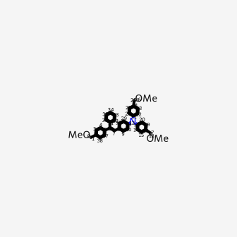 COCc1ccc(/C(=C/c2ccc(N(c3ccc(COC)cc3)c3ccc(COC)cc3)cc2)c2ccccc2)cc1